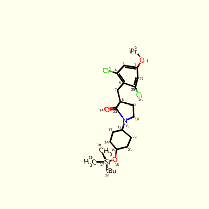 CC(C)Oc1cc(Cl)c(CC2CCN(C3CCC(O[Si](C)(C)C(C)(C)C)CC3)C2=O)c(Cl)c1